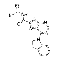 CCC(CC)NC(=O)c1nc2c(N3CCc4ccccc43)ncnc2s1